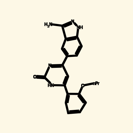 CCCOc1ccccc1-c1cc(-c2ccc3[nH]nc(N)c3c2)nc(=O)[nH]1